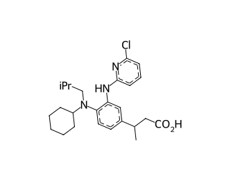 CC(C)CN(c1ccc(C(C)CC(=O)O)cc1Nc1cccc(Cl)n1)C1CCCCC1